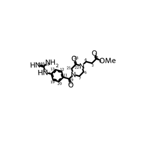 COC(=O)CCN1CCN(C(=O)c2ccc(NC(=N)N)cc2)CC1=O